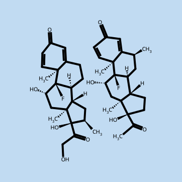 CC(=O)[C@@]1(O)CC[C@H]2[C@@H]3C[C@H](C)C4=CC(=O)C=C[C@]4(C)[C@@]3(F)[C@@H](O)C[C@@]21C.C[C@@H]1C[C@H]2[C@@H]3CCC4=CC(=O)C=C[C@]4(C)[C@@]3(F)[C@@H](O)C[C@]2(C)[C@@]1(O)C(=O)CO